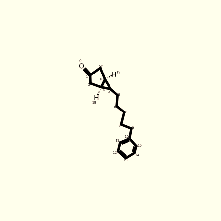 O=C1C[C@@H]2C(CCCCCc3ccccc3)[C@@H]2C1